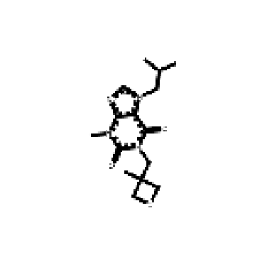 CC(C)Cn1cnc2c1c(=O)n(CC1(C)COC1)c(=O)n2C